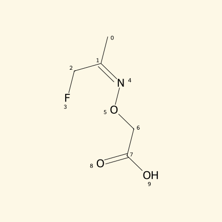 CC(CF)=NOCC(=O)O